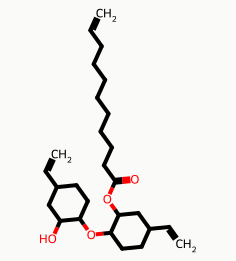 C=CCCCCCCCCC(=O)OC1CC(C=C)CCC1OC1CCC(C=C)CC1O